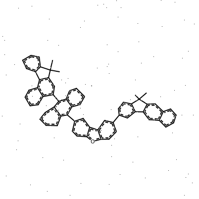 CC1(C)c2ccc(-c3ccc4oc5ccc(-c6c7ccccc7c(-c7cc8c(c9ccccc79)-c7ccccc7C8(C)C)c7ccccc67)cc5c4c3)cc2-c2cc3ccccc3cc21